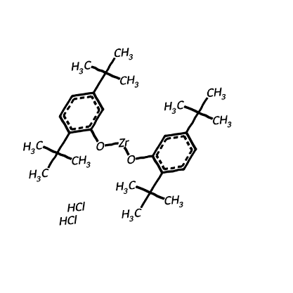 CC(C)(C)c1ccc(C(C)(C)C)c([O][Zr][O]c2cc(C(C)(C)C)ccc2C(C)(C)C)c1.Cl.Cl